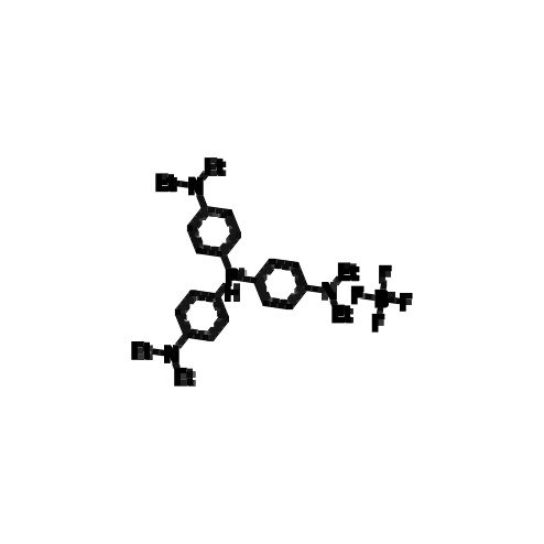 CCN(CC)c1ccc([PH+](c2ccc(N(CC)CC)cc2)c2ccc(N(CC)CC)cc2)cc1.F[B-](F)(F)F